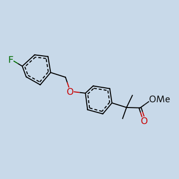 COC(=O)C(C)(C)c1ccc(OCc2ccc(F)cc2)cc1